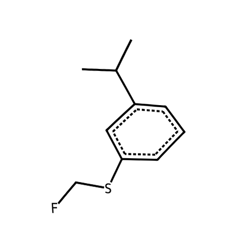 CC(C)c1cccc(SCF)c1